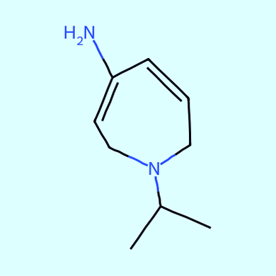 CC(C)N1CC=CC(N)=CC1